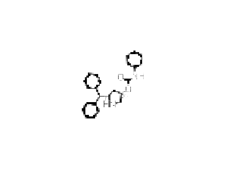 O=C(Nc1ccccc1)O[C@H]1CN[C@@H](C(c2ccccc2)c2ccccc2)C1